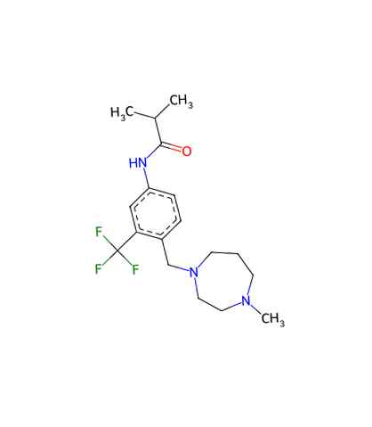 CC(C)C(=O)Nc1ccc(CN2CCCN(C)CC2)c(C(F)(F)F)c1